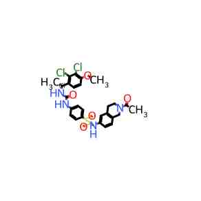 COc1ccc([C@H](C)NC(=O)Nc2ccc(S(=O)(=O)Nc3ccc4c(c3)CCN(C(C)=O)C4)cc2)c(Cl)c1Cl